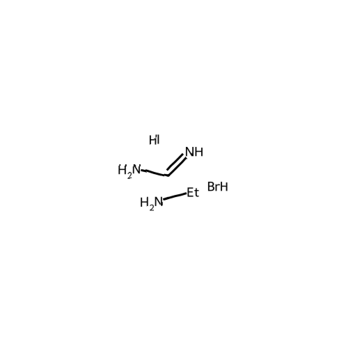 Br.CCN.I.N=CN